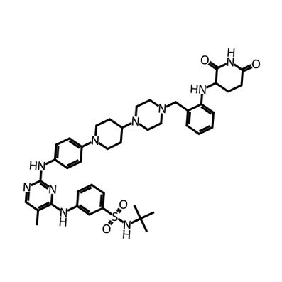 Cc1cnc(Nc2ccc(N3CCC(N4CCN(Cc5ccccc5NC5CCC(=O)NC5=O)CC4)CC3)cc2)nc1Nc1cccc(S(=O)(=O)NC(C)(C)C)c1